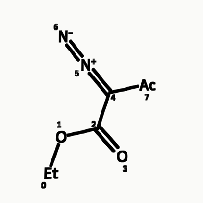 [CH2]COC(=O)C(=[N+]=[N-])C(C)=O